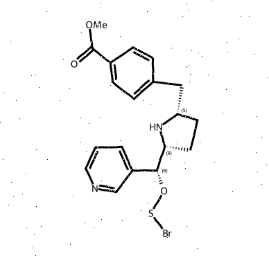 COC(=O)c1ccc(C[C@@H]2CC[C@H]([C@H](OSBr)c3cccnc3)N2)cc1